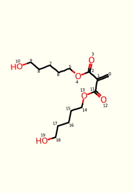 C=C(C(=O)OCCCCCO)C(=O)OCCCCCO